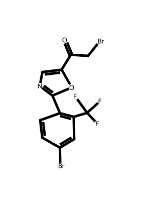 O=C(CBr)c1cnc(-c2ccc(Br)cc2C(F)(F)F)o1